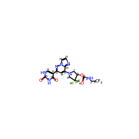 O=C(NCC(F)(F)F)OC1CN(c2cc(-c3c[nH]c(=O)[nH]c3=O)nn3ccnc23)CC1(F)F